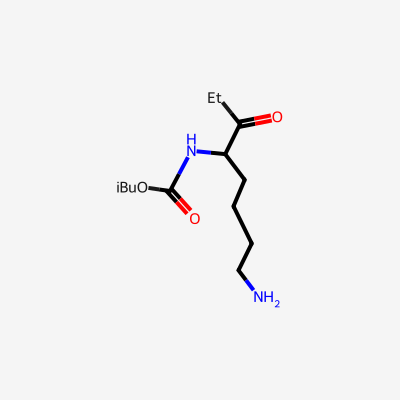 CCC(=O)C(CCCCN)NC(=O)OCC(C)C